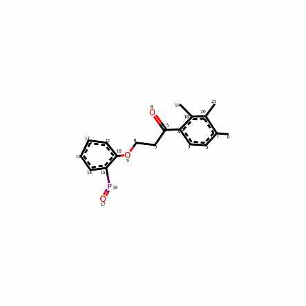 Cc1ccc(C(=O)CCOc2ccccc2P=O)c(C)c1C